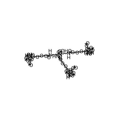 CC(=O)NC1[C@H](OCCOCCOCCOCC(=O)NCCCCC(NC(=O)COCCOCCOCCO[C@@H]2O[C@H](COC(C)=O)[C@H](OC(C)=O)[C@H](OC(C)=O)[C@H]2NC(C)=O)C(=O)NC(CCCCNC(=O)COCCOCCOCCO[C@@H]2O[C@H](COC(C)=O)[C@H](OC(C)=O)[C@H](OC(C)=O)[C@H]2NC(C)=O)C(=O)O)O[C@H](COC(C)=O)[C@H](OC(C)=O)[C@@H]1OC(C)=O